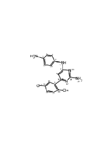 Nc1ccc(Nc2cc(-c3cc(Cl)ccc3Cl)nc(N)n2)cc1